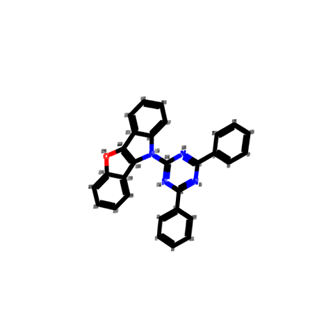 c1ccc(-c2nc(-c3ccccc3)nc(-n3c4ccccc4c4oc5ccccc5c43)n2)cc1